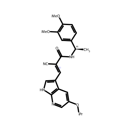 COc1ccc([C@@H](C)NC(=O)/C(C#N)=C/c2c[nH]c3ncc(OC(C)C)cc23)cc1OC